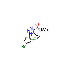 COC(=O)c1nnn(-c2ccc(Br)cc2F)c1C1CC1